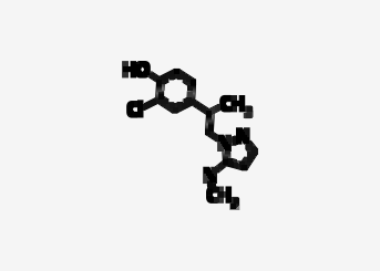 C=Nc1ccnn1/C=C(\C)c1ccc(O)c(Cl)c1